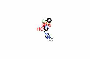 CCN1CCN(Cc2ccn(S(=O)(=O)c3ccccc3Cl)c(=O)c2O)CC1